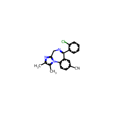 Cc1nc2n(c1C)-c1ccc(C#N)cc1C(c1ccccc1Cl)=NC2